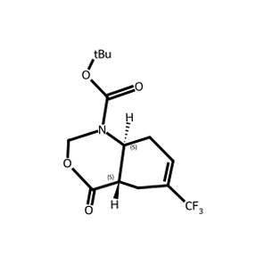 CC(C)(C)OC(=O)N1COC(=O)[C@H]2CC(C(F)(F)F)=CC[C@@H]21